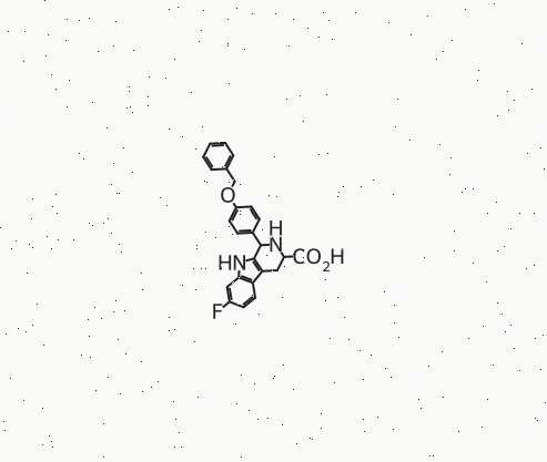 O=C(O)C1Cc2c([nH]c3cc(F)ccc23)C(c2ccc(OCc3ccccc3)cc2)N1